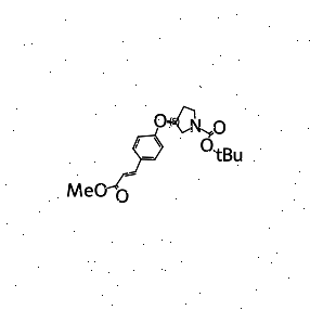 COC(=O)C=Cc1ccc(O[C@H]2CCN(C(=O)OC(C)(C)C)C2)cc1